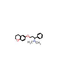 CN(C)C(CCOc1ccc2c(c1)CCCO2)c1ccccc1